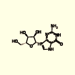 Nc1nc2c(c(=O)[nH]1)NC=[PH]2[C@@H]1O[C@H](CO)[C@@H](O)[C@H]1O